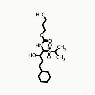 CCCCOC(=O)NC(C(O)CCC1CCCCC1)S(=O)(=O)C(C)C